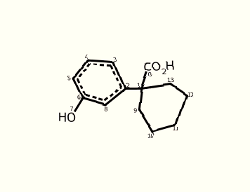 O=C(O)C1(c2cccc(O)c2)CCCCC1